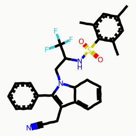 Cc1cc(C)c(S(=O)(=O)NC(CN2C(c3ccccc3)=C(CC#N)C3=CC=CCC32)C(F)(F)F)c(C)c1